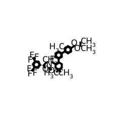 CC[C@@H](C)OC(=O)c1ccc(-c2ccc(F)c(C3=C(CN4C(=O)O[C@H](c5cc(C(F)(F)F)cc(C(F)(F)F)c5)[C@@H]4C)CC(C)(C)CC3)c2)c(C)c1